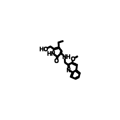 CCc1cc(NCc2nc3ccccc3cc2OC)c(=O)[nH]c1CO